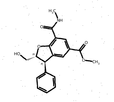 CNC(=O)c1cc(C(=O)OC)cc2c1O[C@@H](CO)[C@@H]2c1ccccc1